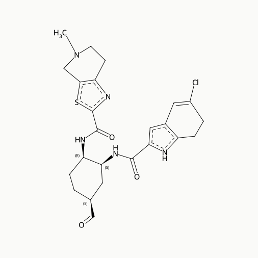 CN1CCc2nc(C(=O)N[C@@H]3CC[C@H](C=O)C[C@@H]3NC(=O)c3cc4c([nH]3)CCC(Cl)=C4)sc2C1